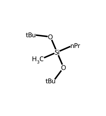 CCC[Si](C)(OC(C)(C)C)OC(C)(C)C